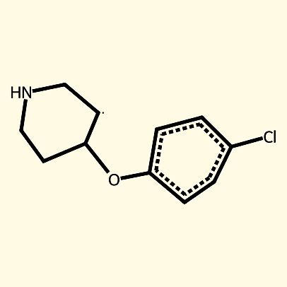 Clc1ccc(OC2[CH]CNCC2)cc1